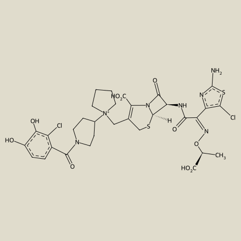 C[C@H](O/N=C(\C(=O)N[C@@H]1C(=O)N2C(C(=O)O)=C(C[N+]3(C4CCN(C(=O)c5ccc(O)c(O)c5Cl)CC4)CCCC3)CS[C@H]12)c1nc(N)sc1Cl)C(=O)O